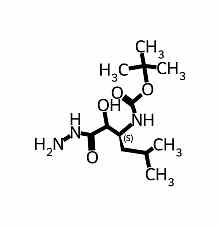 CC(C)C[C@H](NC(=O)OC(C)(C)C)C(O)C(=O)NN